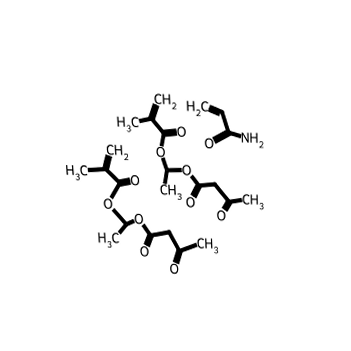 C=C(C)C(=O)OC(C)OC(=O)CC(C)=O.C=C(C)C(=O)OC(C)OC(=O)CC(C)=O.C=CC(N)=O